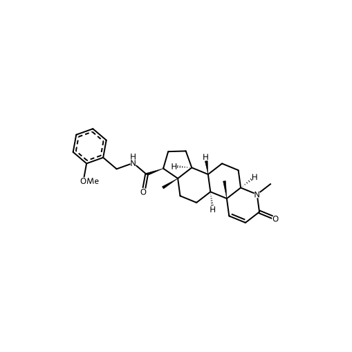 COc1ccccc1CNC(=O)[C@H]1CC[C@H]2[C@@H]3CC[C@H]4N(C)C(=O)C=C[C@]4(C)[C@H]3CC[C@]12C